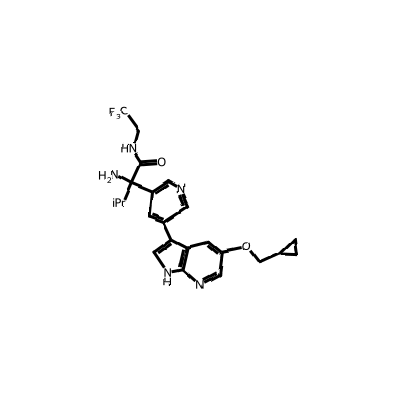 CC(C)C(N)(C(=O)NCC(F)(F)F)c1cncc(-c2c[nH]c3ncc(OCC4CC4)cc23)c1